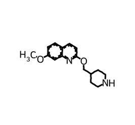 COc1ccc2ccc(OCC3CCNCC3)nc2c1